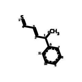 CC(C=CC=S)c1ccccc1